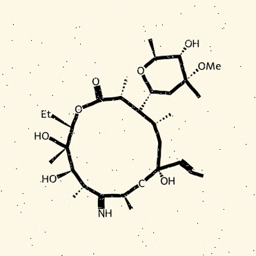 C/C=C/[C@@]1(O)C[C@@H](C)C(=N)[C@H](C)[C@@H](O)[C@](C)(O)[C@@H](CC)OC(=O)[C@H](C)C([C@H]2C[C@@](C)(OC)[C@@H](O)[C@H](C)O2)[C@H](C)C1